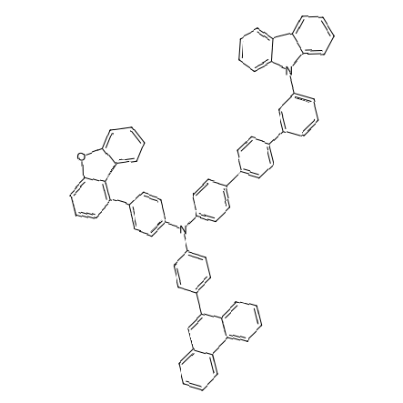 c1cc(-c2ccc(-c3ccc(N(c4ccc(-c5cc6ccccc6c6ccccc56)cc4)c4ccc(-c5cccc6oc7ccccc7c56)cc4)cc3)cc2)cc(-n2c3ccccc3c3ccccc32)c1